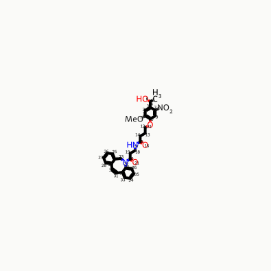 COc1cc(C(C)O)c([N+](=O)[O-])cc1OCCCC(=O)NCCC(=O)N1Cc2ccccc2C#Cc2ccccc21